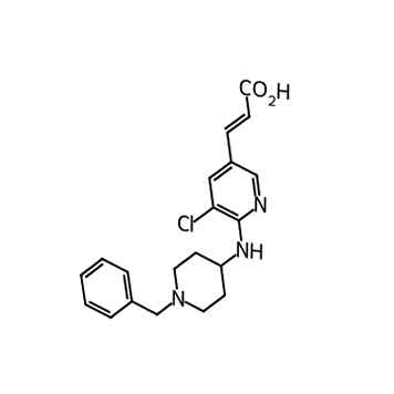 O=C(O)C=Cc1cnc(NC2CCN(Cc3ccccc3)CC2)c(Cl)c1